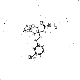 CC(=O)OCC(CCc1cccc(Br)c1)(COC(C)=O)CC(N)=O